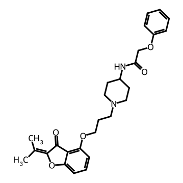 CC(C)=C1Oc2cccc(OCCCN3CCC(NC(=O)COc4ccccc4)CC3)c2C1=O